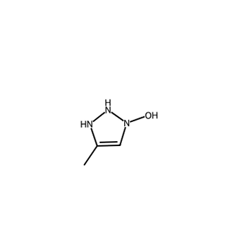 CC1=CN(O)NN1